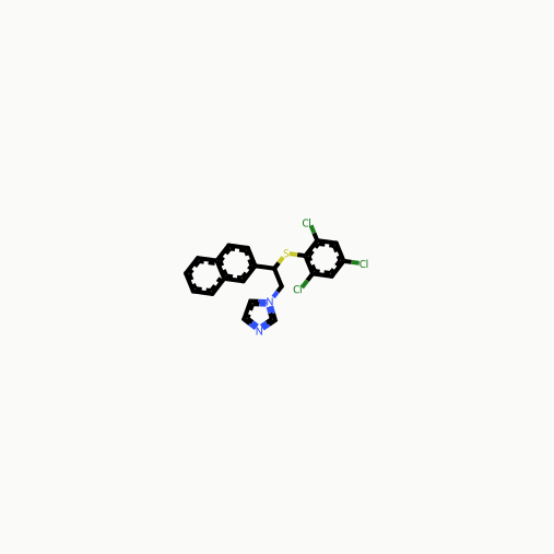 Clc1cc(Cl)c(SC(Cn2ccnc2)c2ccc3ccccc3c2)c(Cl)c1